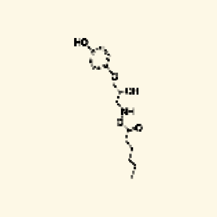 CCCCCC(=O)ONCC(O)COc1ccc(O)cc1